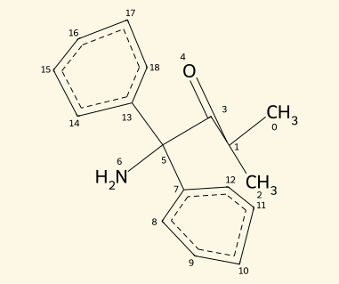 CC(C)C(=O)C(N)(c1ccccc1)c1ccccc1